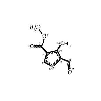 COC(=O)c1csc(C=O)c1C